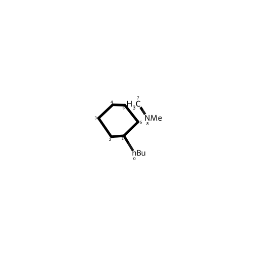 CCCCC1CCCCC1.CNC